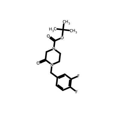 CC(C)(C)OC(=O)N1CCN(Cc2ccc(F)c(F)c2)C(=O)C1